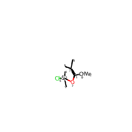 COC(O[Si](C)(C)Cl)=C(C)C